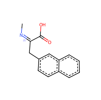 C/N=C(/Cc1ccc2ccccc2c1)C(=O)O